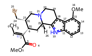 C/C=C(/C(=O)OC)[C@H]1C[C@H]2c3[nH]c4cccc(OC)c4c3CCN2C[C@H]1CBr